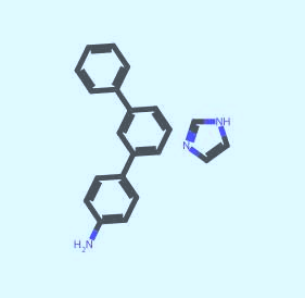 Nc1ccc(-c2cccc(-c3ccccc3)c2)cc1.c1c[nH]cn1